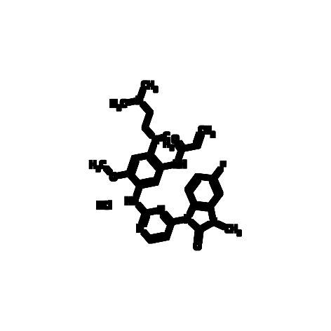 C=CC(=O)Nc1cc(Nc2nccc(-n3c(=O)n(C)c4cc(F)ccc43)n2)c(OC)cc1N(C)CCN(C)C.Cl